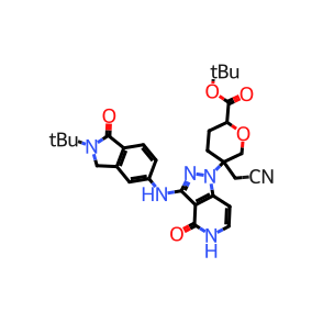 CC(C)(C)OC(=O)C1CCC(CC#N)(n2nc(Nc3ccc4c(c3)CN(C(C)(C)C)C4=O)c3c(=O)[nH]ccc32)CO1